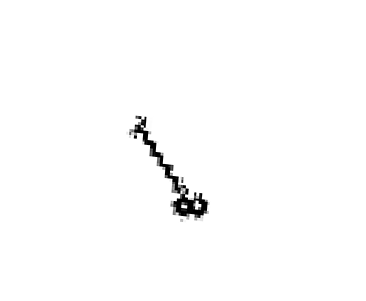 O=C(O)CCCCCCCCCCOc1cccc2cccnc12